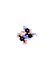 CCC(c1cccc(N)c1O)c1cccc(N)c1O.Nc1c(C(=O)O)ccc(C(=O)O)c1N